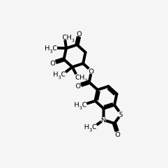 Cc1c(C(=O)OC2CC(=O)C(C)(C)C(=O)C2(C)C)ccc2sc(=O)n(C)c12